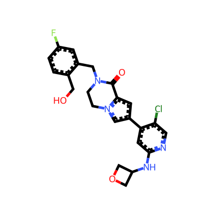 O=C1c2cc(-c3cc(NC4COC4)ncc3Cl)cn2CCN1Cc1cc(F)ccc1CO